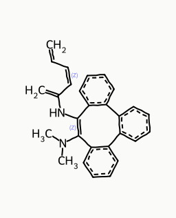 C=C/C=C\C(=C)N/C1=C(\N(C)C)c2ccccc2-c2ccccc2-c2ccccc21